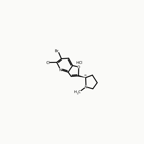 CN1CCC[C@@H]1c1cc2nc(Cl)c(Br)cc2o1.Cl